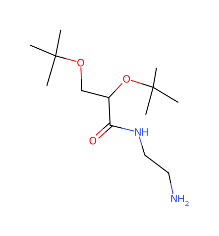 CC(C)(C)OCC(OC(C)(C)C)C(=O)NCCN